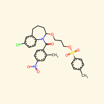 Cc1ccc(S(=O)(=O)OCCCOC2CCCc3cc(Cl)ccc3N2C(=O)c2ccc([N+](=O)[O-])cc2C)cc1